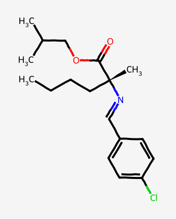 CCCC[C@@](C)(/N=C/c1ccc(Cl)cc1)C(=O)OCC(C)C